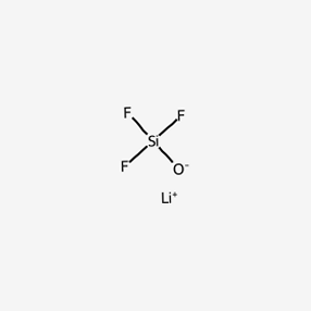 [Li+].[O-][Si](F)(F)F